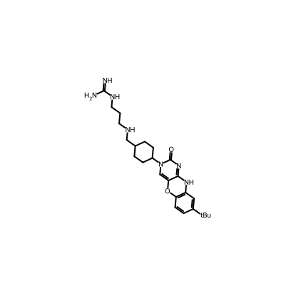 CC(C)(C)c1ccc2c(c1)Nc1nc(=O)n(C3CCC(CNCCCNC(=N)N)CC3)cc1O2